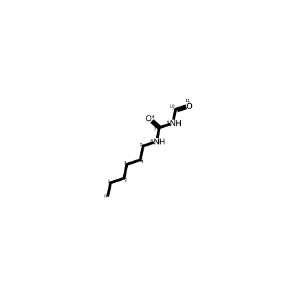 CCCCCCNC(=O)N[C]=O